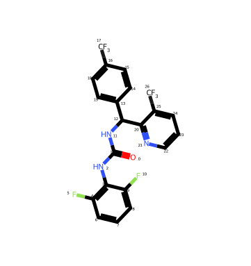 O=C(Nc1c(F)cccc1F)NC(c1ccc(C(F)(F)F)cc1)c1ncccc1C(F)(F)F